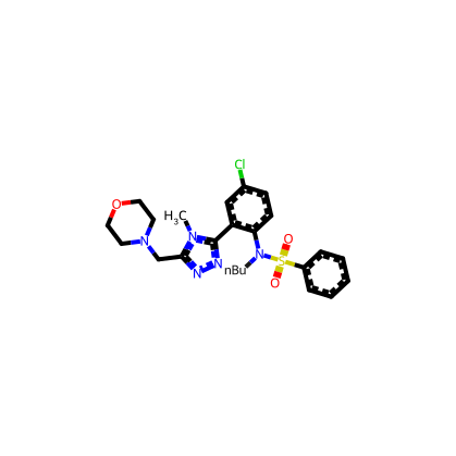 CCCCN(c1ccc(Cl)cc1-c1nnc(CN2CCOCC2)n1C)S(=O)(=O)c1ccccc1